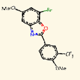 COc1cc(Br)c2oc(-c3ccc(OC)c(C(F)(F)F)c3)nc2c1